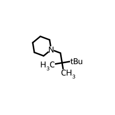 CC(C)(C)C(C)(C)CN1CCCCC1